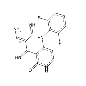 N=C/C(=C\N)C(=N)c1c(Nc2c(F)cccc2F)cc[nH]c1=O